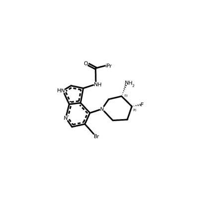 CC(C)C(=O)Nc1c[nH]c2ncc(Br)c(N3CC[C@@H](F)[C@@H](N)C3)c12